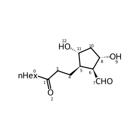 CCCCCCC(=O)CC[C@@H]1[C@H](C=O)[C@@H](O)C[C@H]1O